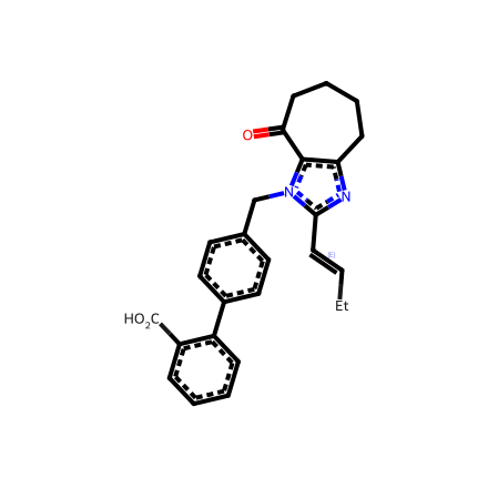 CC/C=C/c1nc2c(n1Cc1ccc(-c3ccccc3C(=O)O)cc1)C(=O)CCCC2